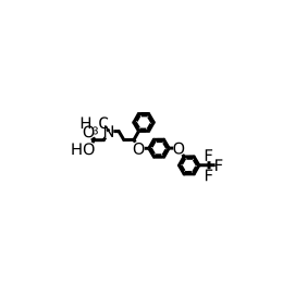 CN(CCC(Oc1ccc(Oc2cccc(C(F)(F)F)c2)cc1)c1ccccc1)CC(=O)O